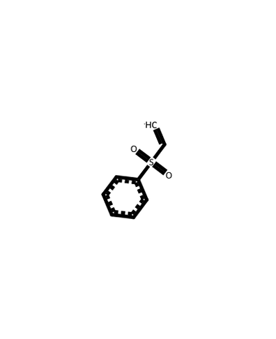 [CH]=CS(=O)(=O)c1ccccc1